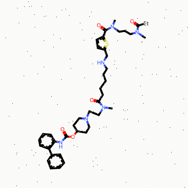 CCC(=O)N(C)CCCN(C)C(=O)c1ccc(CNCCCCCC(=O)N(C)CCN2CCC(OC(=O)Nc3ccccc3-c3ccccc3)CC2)s1